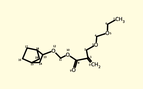 C=C(COCOCC)C(=O)OCOC1CC2CCC1C2